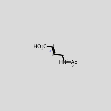 CC(=O)NC/C=C/C(=O)O